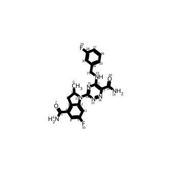 CC1Cc2c(C(N)=O)cc(F)cc2N1c1nnc(C(N)=O)c(NCc2cccc(F)c2)n1